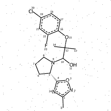 Cc1noc([C@@H]2CCCN2C(O)C(C)(C)Oc2ccc(Cl)cc2F)n1